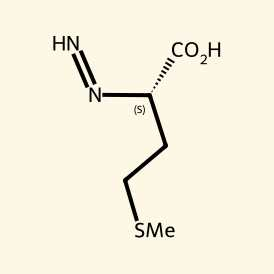 CSCC[C@H](N=N)C(=O)O